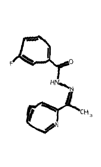 CC(=NNC(=O)c1cccc(F)c1)c1ccccn1